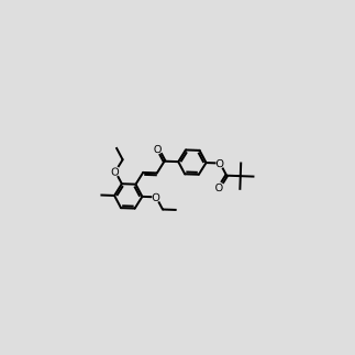 CCOc1ccc(C)c(OCC)c1C=CC(=O)c1ccc(OC(=O)C(C)(C)C)cc1